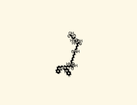 O=CC(CCC(=O)O)NC(=O)NC(CCCCNC(=O)CCCCCCC(=O)NC(CCCCN(Cc1ccc2ccccc2n1)Cc1ccc2ccccc2n1)C(=O)O)C(=O)O